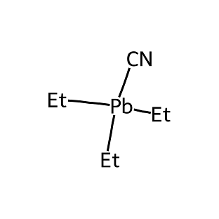 C[CH2][Pb]([C]#N)([CH2]C)[CH2]C